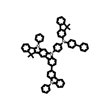 CC1(C)c2ccccc2-c2ccc(N(c3ccc(-c4ccccc4)cc3)c3ccc(-n4c5ccc(-c6ccc7c(c6)c6ccccc6n7-c6ccccc6)cc5c5cc6c7c(n(-c8ccccc8)c6cc54)-c4ccccc4C7(C)C)cc3)cc21